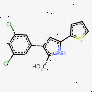 O=C(O)c1[nH]c(-c2cccs2)cc1-c1cc(Cl)cc(Cl)c1